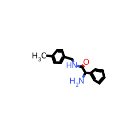 Cc1ccc(CNC(=O)C(N)c2ccccc2)cc1